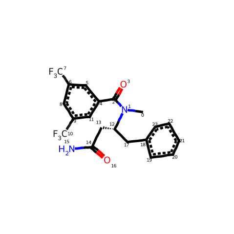 CN(C(=O)c1cc(C(F)(F)F)cc(C(F)(F)F)c1)[C@@H](CC(N)=O)Cc1ccccc1